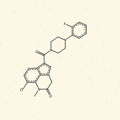 CN1C(=O)Cn2cc(C(=O)N3CCN(c4ccccc4F)CC3)c3ccc(Cl)c1c32